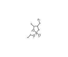 CCO[Si](Cl)(CCCF)OCC